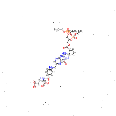 CCO[PH](=O)OCC(COC(=O)c1ccccc1Nc1nc2ncc(CNc3ccc(C(=O)N[C@@H](CCC(=O)O)C(=O)O)cc3)nc2c(=O)[nH]1)OP(=O)(OCC)OCC